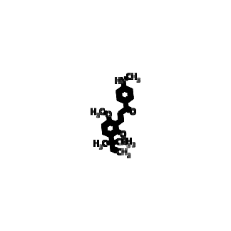 C=CC(C)(C)c1ccc(OC)c(/C=C/C(=O)c2ccc(NC)cc2)c1OC